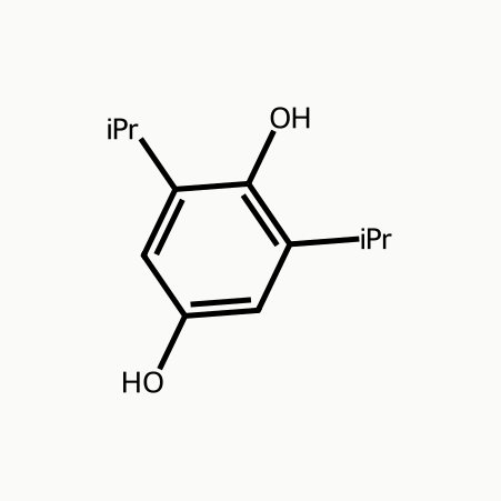 CC(C)c1cc(O)cc(C(C)C)c1O